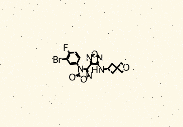 O=c1onc(-c2nonc2NC2CC3(COC3)C2)n1-c1ccc(F)c(Br)c1